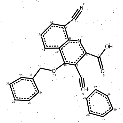 C#Cc1c(C(=O)O)nc2c(C#N)cccc2c1OCc1ccccc1.c1ccccc1